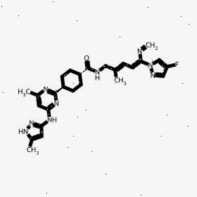 C=N/C(=C\C=C(/C)CNC(=O)[C@H]1CC[C@H](c2nc(C)cc(Nc3cc(C)[nH]n3)n2)CC1)n1cc(F)cn1